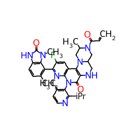 C=CC(=O)N1CC2CNc3c(c4cc(F)c(-c5c(C)ccc6[nH]c(=O)n(C)c56)nc4n(-c4c(C)ccnc4C(C)C)c3=O)N2CC1C